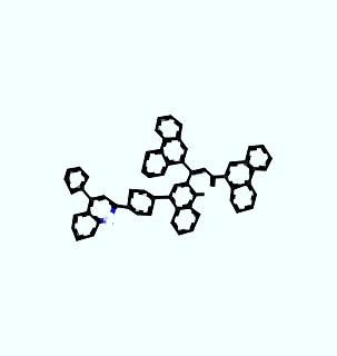 C=C(/C=C(\c1cc(-c2ccc(-c3cc(-c4ccccc4)c4ccccc4n3)cc2)c2ccccc2c1C)c1cc2ccccc2c2ccccc12)c1cc2ccccc2c2ccccc12